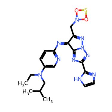 CCN(CC(C)C)c1ccc(/N=C2/C(CN3OSO3)=Nn3nc(-c4ncc[nH]4)nc32)nc1